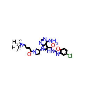 CN(C)C/C=C/C(=O)N1CCC(n2cc(C(=O)Nc3nc4cc(Cl)ccc4o3)c3c(N)ncnc32)C1